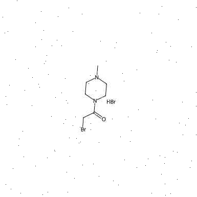 Br.CN1CCN(C(=O)CBr)CC1